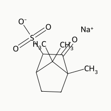 CC12CCC(C(S(=O)(=O)[O-])C1=O)C2(C)C.[Na+]